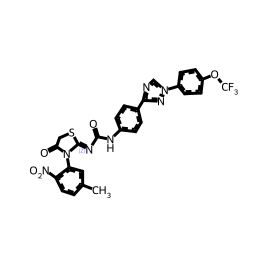 Cc1ccc([N+](=O)[O-])c(N2C(=O)CS/C2=N\C(=O)Nc2ccc(-c3ncn(-c4ccc(OC(F)(F)F)cc4)n3)cc2)c1